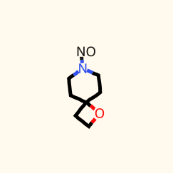 O=NN1CCC2(CCO2)CC1